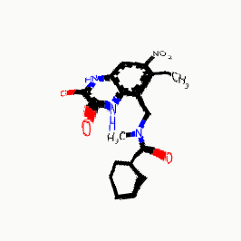 Cc1c([N+](=O)[O-])cc2[nH]c(=O)c(=O)[nH]c2c1CN(C)C(=O)C1CCCCC1